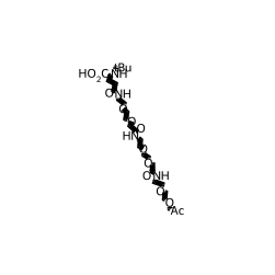 CC(=O)COCCOCCNC(=O)COCCOCCNC(=O)COCCOCCNC(=O)CC[C@H](NC(C)(C)C)C(=O)O